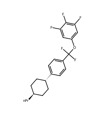 CCC[C@H]1CC[C@H](c2ccc(C(F)(F)Oc3cc(F)c(F)c(F)c3)cc2)CC1